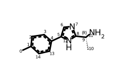 Cc1ccc(-c2cnc([C@@H](C)N)[nH]2)cc1